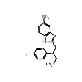 O=C(O)CC(Cc1nc2cc([N+](=O)[O-])ccc2[nH]1)c1ccc(Cl)cc1